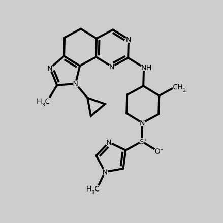 Cc1nc2c(n1C1CC1)-c1nc(NC3CCN([S+]([O-])c4cn(C)cn4)CC3C)ncc1CC2